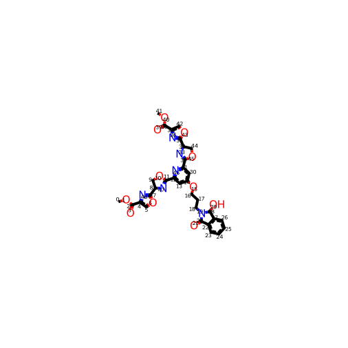 COC(=O)c1coc(C2COC(c3cc(OCCCN4C(=O)c5ccccc5C4O)cc(C4=NC(c5nc(C(=O)OC)co5)CO4)n3)=N2)n1